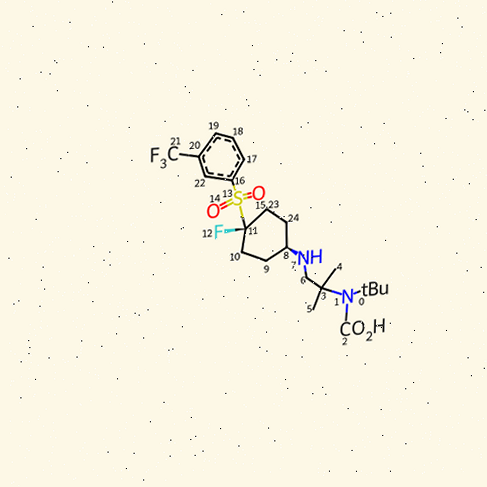 CC(C)(C)N(C(=O)O)C(C)(C)CN[C@H]1CC[C@](F)(S(=O)(=O)c2cccc(C(F)(F)F)c2)CC1